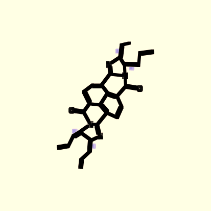 C=C/C=c1/nc2c3ccc4c(=O)n5c(=C/C=C)/c(=C\C)nc5c5ccc(c(=O)n2/c1=C/C=C)c3c45